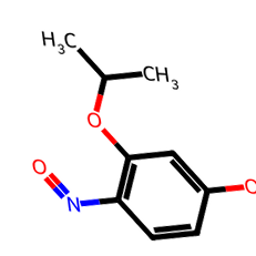 CC(C)Oc1cc(O)ccc1N=O